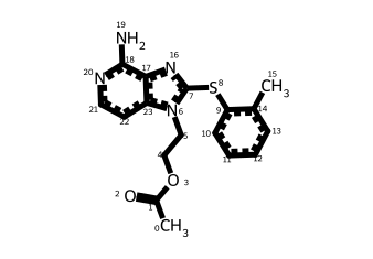 CC(=O)OCCn1c(Sc2ccccc2C)nc2c(N)nccc21